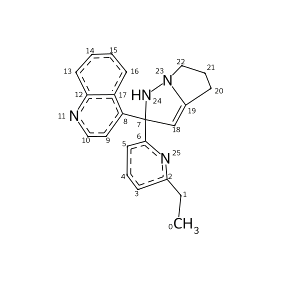 CCc1cccc(C2(c3ccnc4ccccc34)C=C3CCCN3N2)n1